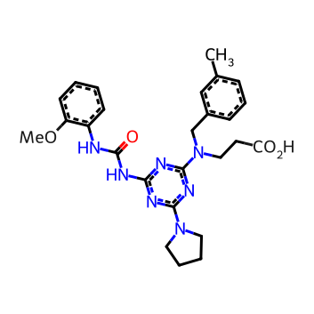 COc1ccccc1NC(=O)Nc1nc(N2CCCC2)nc(N(CCC(=O)O)Cc2cccc(C)c2)n1